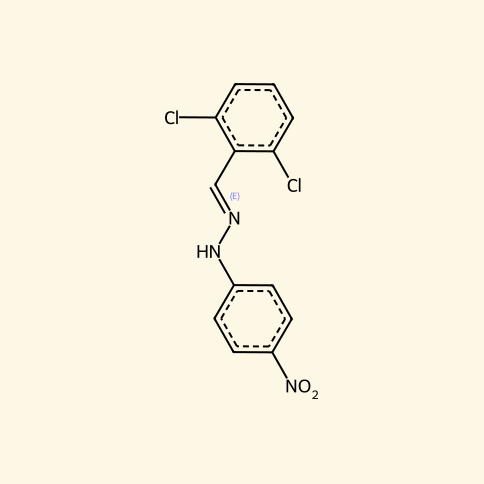 O=[N+]([O-])c1ccc(N/N=C/c2c(Cl)cccc2Cl)cc1